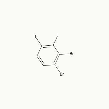 Brc1ccc(I)c(I)c1Br